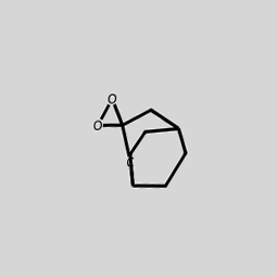 C1CC2CCC1CC1(C2)OO1